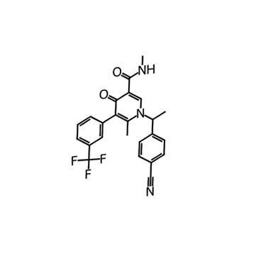 CNC(=O)c1cn(C(C)c2ccc(C#N)cc2)c(C)c(-c2cccc(C(F)(F)F)c2)c1=O